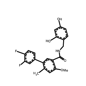 COc1cc(C)c(-c2ccc(F)c(F)c2)cc1C(=O)NCc1ccc(O)cc1O